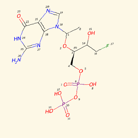 CC(O[C@H](COP(=O)(O)OP(=O)(O)O)C(O)CF)n1cnc2c(=O)[nH]c(N)nc21